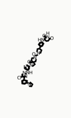 O=C1CCC(Nc2ccc(C3CCN(CC(=O)N4CCC5(CC4)CCN(c4cncc(Nc6ncc(Cl)c(-c7cccc(N8CCCC8)c7)n6)c4)C5=O)CC3)cc2)C(=O)N1